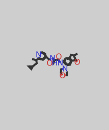 CC1Cc2cc(NC(=O)c3coc(-c4ccnc(C(C)CC5CC5)c4)n3)c(N3CCOCC3)cc2C1=O